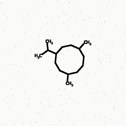 CC1CCCC(C)CCC(C(C)C)CC1